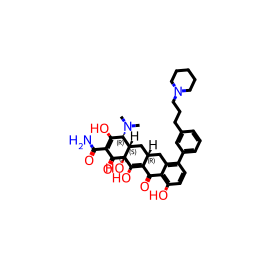 CN(C)[C@H]1C(O)=C(C(N)=O)C(=O)[C@@]2(O)C(O)=C3C(=O)c4c(O)ccc(-c5cccc(CCCN6CCCCC6)c5)c4C[C@H]3C[C@@H]12